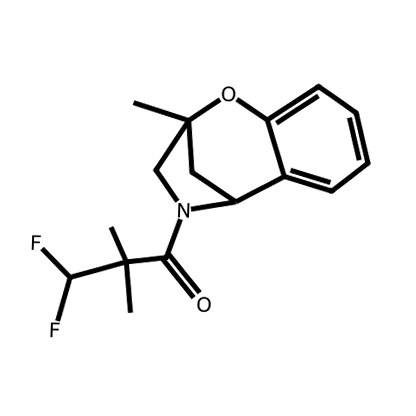 CC12CC(c3ccccc3O1)N(C(=O)C(C)(C)C(F)F)C2